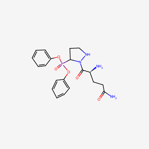 NC(=O)CC[C@H](N)C(=O)N1NCCC1P(=O)(Oc1ccccc1)Oc1ccccc1